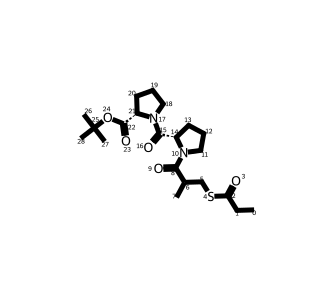 CCC(=O)SCC(C)C(=O)N1CCC[C@H]1C(=O)N1CCC[C@H]1C(=O)OC(C)(C)C